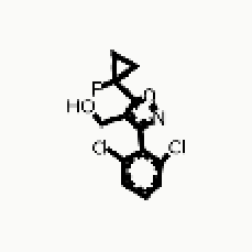 OCc1c(-c2c(Cl)cccc2Cl)noc1C1(F)CC1